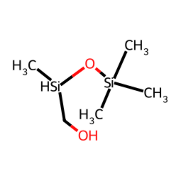 C[SiH](CO)O[Si](C)(C)C